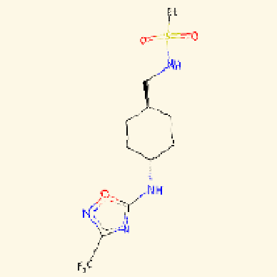 CCS(=O)(=O)NC[C@H]1CC[C@H](Nc2nc(C(F)(F)F)no2)CC1